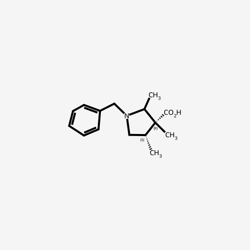 CC1N(Cc2ccccc2)C[C@@H](C)[C@@]1(C)C(=O)O